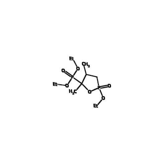 CCOP1(=O)CC(C)C(C)(P(=O)(OCC)OCC)O1